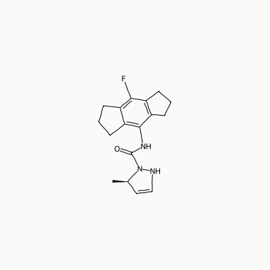 C[C@@H]1C=CNN1C(=O)Nc1c2c(c(F)c3c1CCC3)CCC2